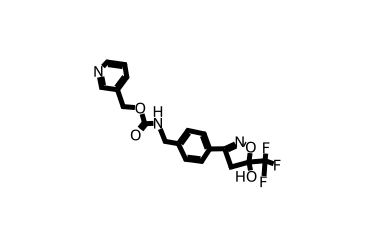 O=C(NCc1ccc(C2=NOC(O)(C(F)(F)F)C2)cc1)OCc1cccnc1